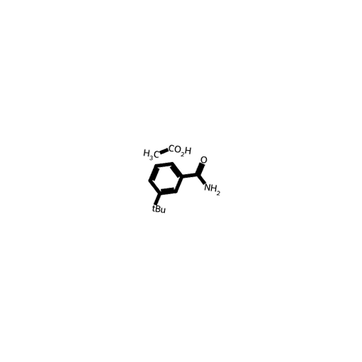 CC(=O)O.CC(C)(C)c1cccc(C(N)=O)c1